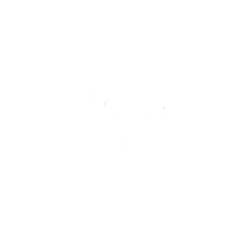 O.Oc1ccc(P(c2ccccc2)c2ccccc2)cc1